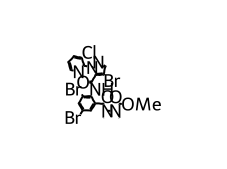 COC(=O)N(C)N(C)C(=O)c1cc(Br)cc(Br)c1NC(=O)c1c(Br)cnn1-c1ncccc1Cl